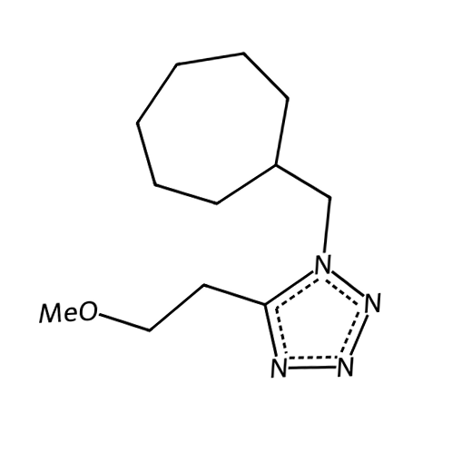 [CH2]OCCc1nnnn1CC1CCCCCC1